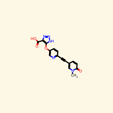 Cn1cc(C#Cc2ccc(Oc3[nH]nnc3C(=O)O)cn2)ccc1=O